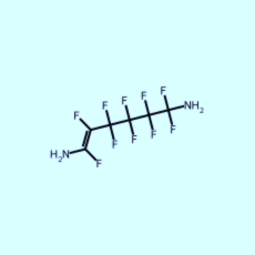 NC(F)=C(F)C(F)(F)C(F)(F)C(F)(F)C(N)(F)F